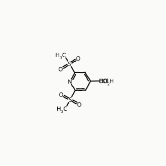 CS(=O)(=O)c1cc(C(=O)O)cc(S(C)(=O)=O)n1.Cl